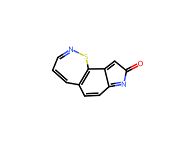 O=c1cc2c(ccc3cccnsc32)n1